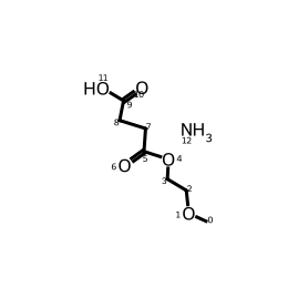 COCCOC(=O)CCC(=O)O.N